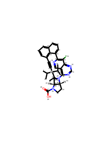 CC(C)[Si](C#Cc1cccc2cccc(-c3ncc4c(N5C[C@@H]6[C@H]5CCN6C(=O)O)ncnc4c3F)c12)(C(C)C)C(C)C